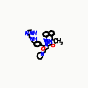 C[C@H](NC(=O)[C@H](CCCN1CCCCCC1)NC(=O)c1ccc(CNCc2ncc[nH]2)cc1)c1cccc2ccccc12